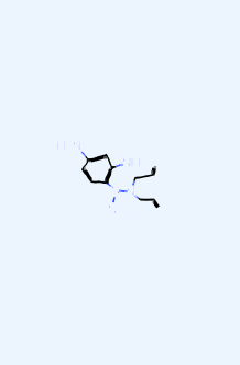 C=CCN(CC=C)N(N)c1ccc(N)cc1N